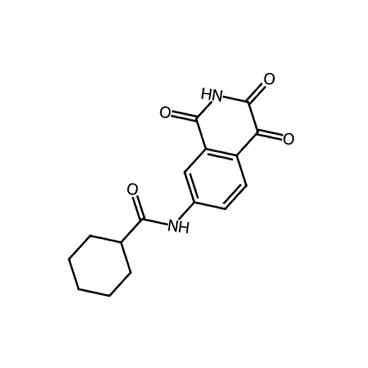 O=C1NC(=O)c2cc(NC(=O)C3CCCCC3)ccc2C1=O